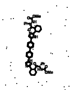 COC(=O)N[C@H](C(=O)C1CCCCC1c1ncc(-c2ccc(-c3ccc(-c4cnc(C5CCCCC5C(=O)N(NC(=O)OC)C(C)C)[nH]4)cc3)cc2)[nH]1)C(C)C